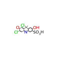 CC1(C)C2=C(Cl)C(=O)C(Cl)=CC2=Nc2cc(S(=O)(=O)O)c(O)cc21